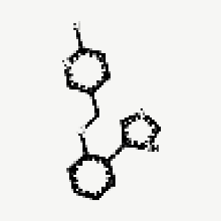 Clc1ccc(COc2ccccc2-c2cnc[nH]2)cn1